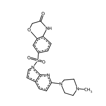 CN1CCN(c2ccc3ccn(S(=O)(=O)c4ccc5c(c4)OCC(=O)N5)c3n2)CC1